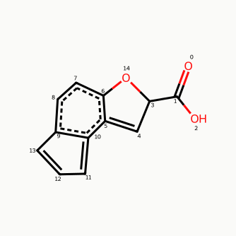 O=C(O)C1C=c2c(ccc3c2=CC=C3)O1